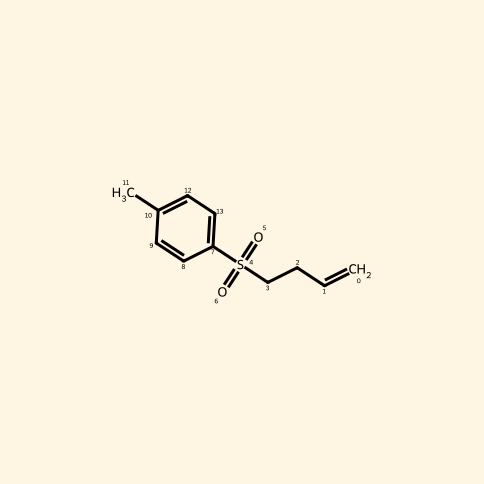 C=CCCS(=O)(=O)c1ccc(C)cc1